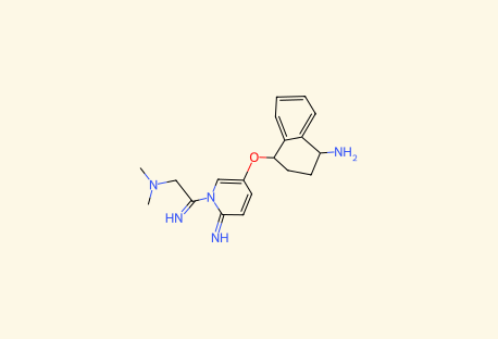 CN(C)CC(=N)n1cc(OC2CCC(N)c3ccccc32)ccc1=N